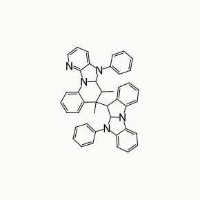 CC1C2N(c3ccccc3)c3cccnc3N2c2ccccc2C1(C)C1c2ccccc2N2c3ccccc3N(c3ccccc3)C12